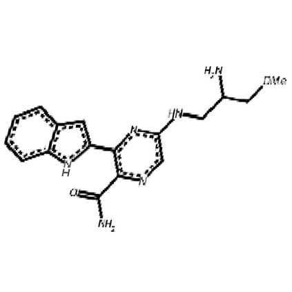 COCC(N)CNc1cnc(C(N)=O)c(-c2cc3ccccc3[nH]2)n1